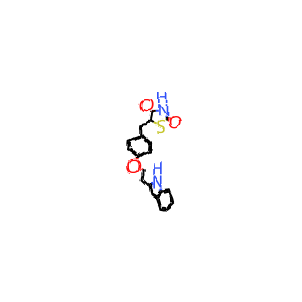 O=C1NC(=O)C(Cc2ccc(OCCc3cc4ccccc4[nH]3)cc2)S1